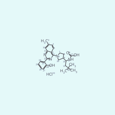 Cc1ccc2c(N3CCC(C(CC(C)(C)C)NC(=O)O)C3)nc(-c3ccccc3O)nc2c1.Cl